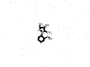 CCSc1ccccc1-n1nc(C)c(O)c1C